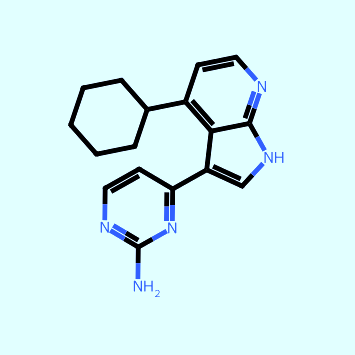 Nc1nccc(-c2c[nH]c3nccc(C4CCCCC4)c23)n1